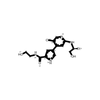 CC[C@@H](CO)Nc1cc(-c2c[nH]c(C(=O)NCCO)c2)c(Cl)cn1